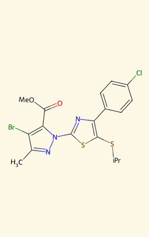 COC(=O)c1c(Br)c(C)nn1-c1nc(-c2ccc(Cl)cc2)c(SC(C)C)s1